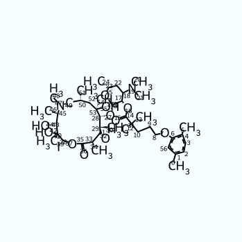 Cc1ccc(C)c(OCCCC(C)(C)C(=O)O[C@@H]2C(N(C)C)C[C@@H](C)O[C@H]2O[C@@H]2[C@@H](C)C(=O)[C@@H](C)C(=O)O[C@H](I)[C@@](C)(O)[C@H](O)[C@@H](C)N(C)C[C@H](C)C[C@@]2(C)O)c1